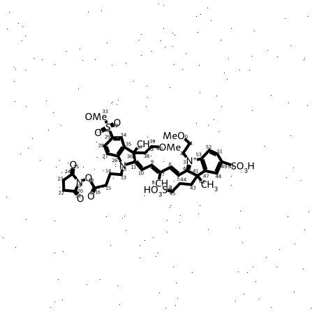 COCC[N+]1=C(/C=C/C(C)=C/C=C2/N(CCCC(=O)ON3C(=O)CCC3=O)c3ccc(S(=O)(=O)OC)cc3C2(C)CCOC)C(C)(CCCS(=O)(=O)O)c2cc(S(=O)(=O)O)ccc21